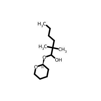 CCCCC(C)(C)C(O)O[C@H]1CCCCO1